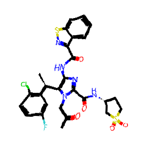 CC(=O)Cn1c(C(=O)N[C@@H]2CCS(=O)(=O)C2)nc(NC(=O)c2nsc3ccccc23)c1[C@H](C)c1cc(F)ccc1Cl